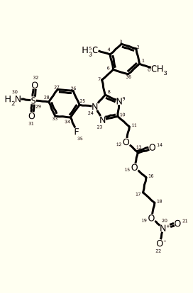 Cc1ccc(C)c(Cc2nc(COC(=O)OCCCO[N+](=O)[O-])nn2-c2ccc(S(N)(=O)=O)cc2F)c1